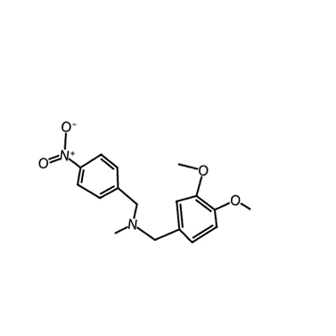 COc1ccc(CN(C)Cc2ccc([N+](=O)[O-])cc2)cc1OC